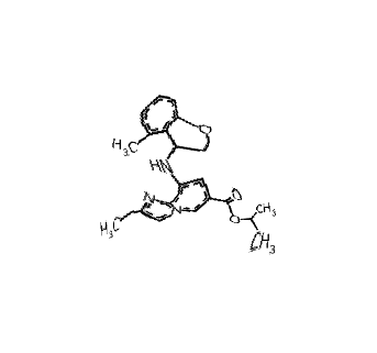 Cc1cn2cc(C(=O)OC(C)C)cc(NC3CCOc4cccc(C)c43)c2n1